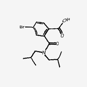 CC(C)CN(CC(C)C)C(=O)c1cc(Br)ccc1C(=O)O